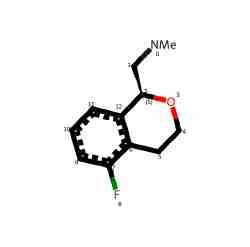 CNC[C@H]1OCCc2c(F)cccc21